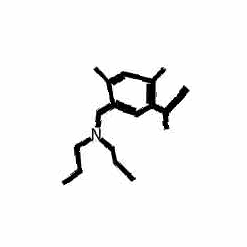 C=C(C)c1cc(CN(CCC)CCC)c(C)cc1C